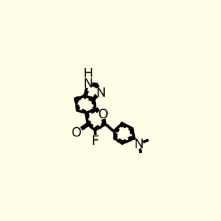 CN(C)c1ccc(-c2oc3c(ccc4[nH]cnc43)c(=O)c2F)cc1